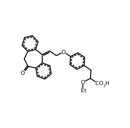 CCOC(Cc1ccc(OCC=C2c3ccccc3CC(=O)c3ccccc32)cc1)C(=O)O